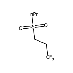 C[CH]CS(=O)(=O)CCC(F)(F)F